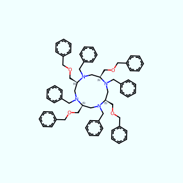 c1ccc(COC[C@@H]2CN(Cc3ccccc3)[C@H](COCc3ccccc3)CN(Cc3ccccc3)[C@H](COCc3ccccc3)CN(Cc3ccccc3)[C@H](COCc3ccccc3)CN2Cc2ccccc2)cc1